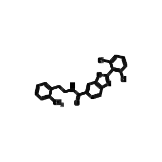 Cc1ccccc1CCNC(=O)c1ccc2nc(-c3c(Cl)cccc3Cl)oc2c1